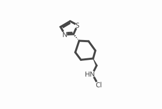 ClNC[C@H]1CC[C@H](c2nccs2)CC1